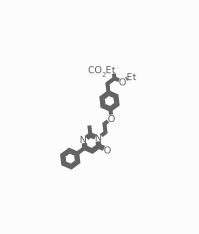 CCOC(=O)C(Cc1ccc(OCCn2c(C)nc(-c3ccccc3)cc2=O)cc1)OCC